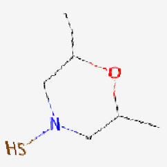 CC1CN(S)CC(C)O1